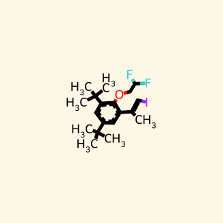 CC(=CI)c1cc(C(C)(C)C)cc(C(C)(C)C)c1OCC(F)F